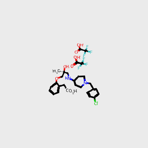 C[C@](O)(CNC1CCN(Cc2ccc(Cl)cc2)CC1)COc1ccccc1CC(=O)O.O=C(O)C(F)(F)F.O=C(O)C(F)(F)F